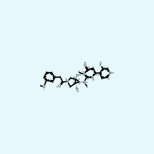 COc1cccc(CC(=O)N2C[C@@H]3[C@H](C2)[C@H]3N(C)c2nc(-c3ccncc3F)cc(=O)n2C)c1